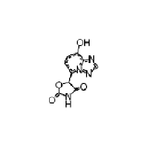 O=C1NC(=O)C(c2ccc(O)c3ncnn23)O1